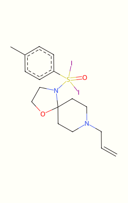 C=CCN1CCC2(CC1)OCCN2S(=O)(I)(I)c1ccc(C)cc1